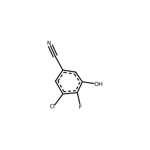 N#Cc1cc(O)c(F)c(Cl)c1